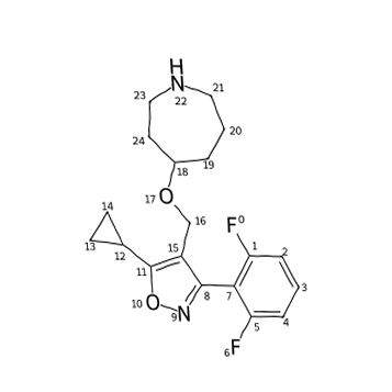 Fc1cccc(F)c1-c1noc(C2CC2)c1COC1CCCNCC1